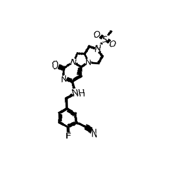 CS(=O)(=O)N1CCN2c3cc(NCc4ccc(F)c(C#N)c4)nc(=O)n3CC2C1